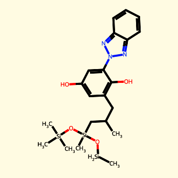 C[SiH2]O[Si](C)(CC(C)Cc1cc(O)cc(-n2nc3ccccc3n2)c1O)O[Si](C)(C)C